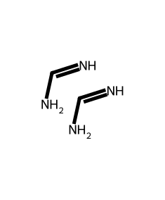 N=CN.N=CN